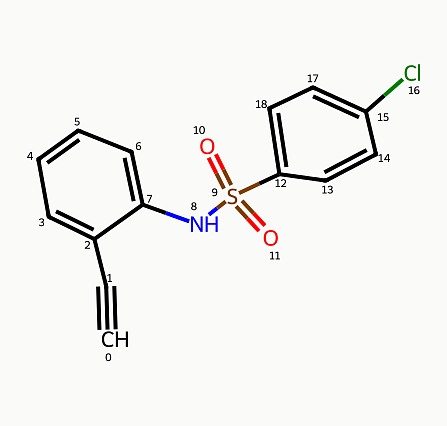 C#Cc1ccccc1NS(=O)(=O)c1ccc(Cl)cc1